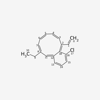 C=Cc1cccccc(CC)cc2cccc(Cl)c12